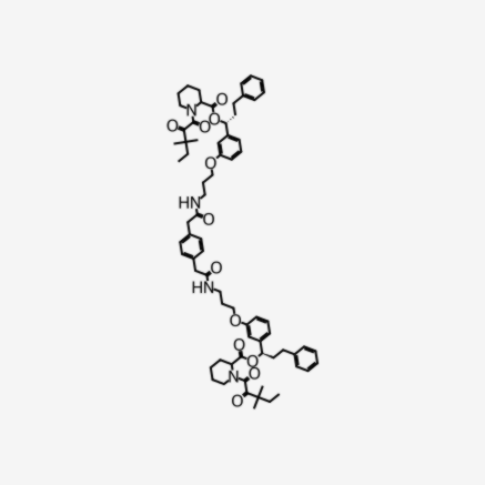 CCC(C)(C)C(=O)C(=O)N1CCCCC1C(=O)O[C@H](CCc1ccccc1)c1cccc(OCCCNC(=O)Cc2ccc(CC(=O)NCCCOc3cccc([C@@H](CCc4ccccc4)OC(=O)C4CCCCN4C(=O)C(=O)C(C)(C)CC)c3)cc2)c1